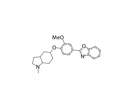 COc1cc(-c2nc3ccccc3o2)ccc1OC1CCC2C(CCN2C)C1